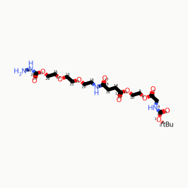 CC(C)(C)OC(=O)NCC(=O)OCCOC(=O)CCC(=O)NCCOCCOCCOC(=O)NN